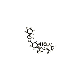 Cc1cc(C)c(CNC(=O)c2ccc(CCOc3ccccc3)cc2)c(O)n1